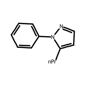 CCCc1[c]cnn1-c1ccccc1